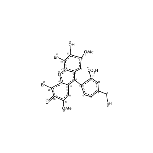 COc1cc2c(-c3ccc(CS)cc3C(=O)O)c3cc(OC)c(=O)c(Br)c-3oc2c(Br)c1O